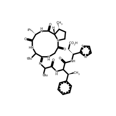 CC(C)[C@@H]1NC(=O)[C@@H]2[C@H](C)CCN2C(=O)CN/C(=N\C(C(=O)NC(C(=O)N[C@H](CC(=O)O)c2nccs2)[C@@H](C)c2ccccc2)C(C)(C)C)C(C(C)(C)C)NC1=O